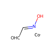 O=CC=NO.[Co]